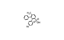 Cc1ccc(S(=O)(=O)O)c(-c2ccccc2)c1-c1ccccc1.I